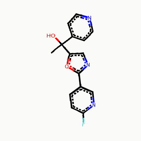 CC(O)(c1ccncc1)c1cnc(-c2ccc(F)nc2)o1